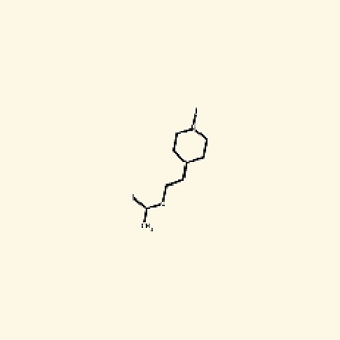 CC(I)OCCC1CCN(I)CC1